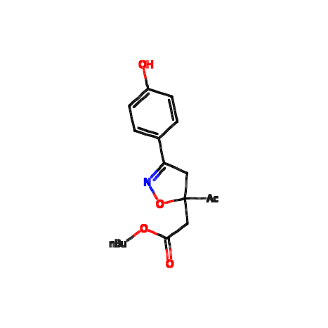 CCCCOC(=O)CC1(C(C)=O)CC(c2ccc(O)cc2)=NO1